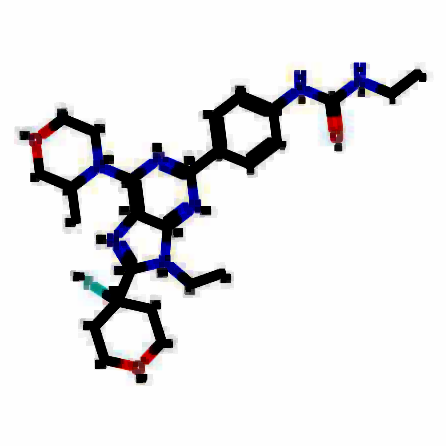 CCNC(=O)Nc1ccc(-c2nc(N3CCOCC3C)c3nc(C4(F)CCOCC4)n(CC)c3n2)cc1